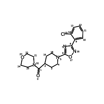 O=C(C1CCN(c2nc(-c3ccccc3Cl)no2)CC1)N1CCOCC1